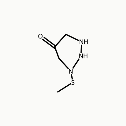 CSN1CC(=O)CNN1